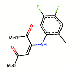 COC(=O)/C=C(/Nc1cc(F)c(F)cc1C)C(=O)OC